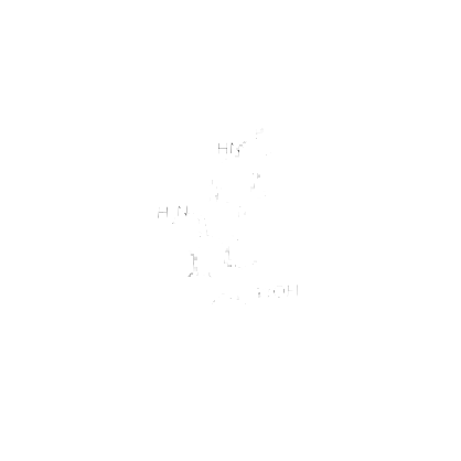 NC(c1ccc2ccc(O)cc2c1)c1ccc2cc[nH]c2c1